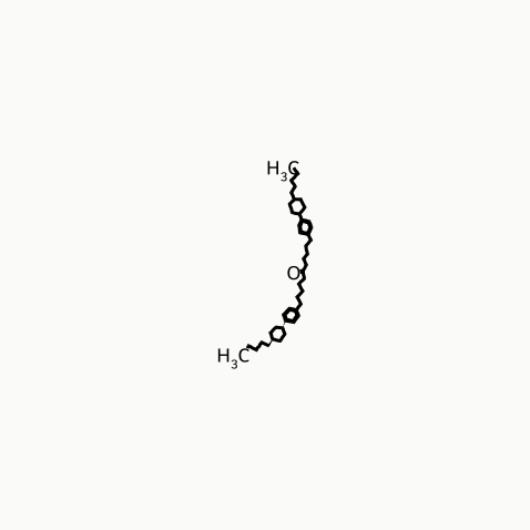 CCCCCC1CCC(c2ccc(CCCCCC(=O)CCCCCc3ccc([C@H]4CC[C@H](CCCCC)CC4)cc3)cc2)CC1